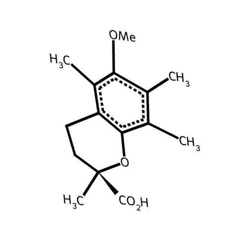 COc1c(C)c(C)c2c(c1C)CC[C@](C)(C(=O)O)O2